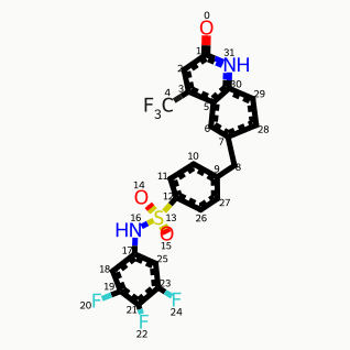 O=c1cc(C(F)(F)F)c2cc(Cc3ccc(S(=O)(=O)Nc4cc(F)c(F)c(F)c4)cc3)ccc2[nH]1